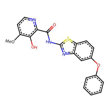 COc1ccnc(C(=O)Nc2nc3cc(Oc4ccccc4)ccc3s2)c1O